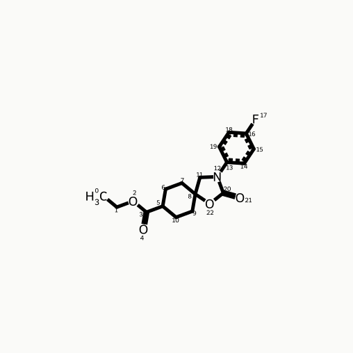 CCOC(=O)C1CCC2(CC1)CN(c1ccc(F)cc1)C(=O)O2